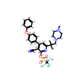 CN1CCN(CC(C)(C)c2cc(-c3ccc(Oc4ccccc4)cc3)c(C#N)c(OS(=O)(=O)C(F)(F)F)n2)CC1